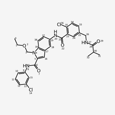 CCOCn1c(C(=O)Nc2cccc(Cl)c2)cc2cc(NC(=O)c3cc(CNC(=O)C(C)C)ccc3Cl)ccc21